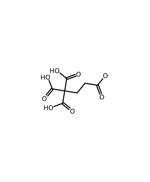 [O]C(=O)CCC(C(=O)O)(C(=O)O)C(=O)O